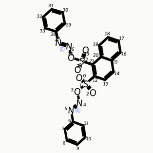 O=S(=O)(O/N=N/c1ccccc1)c1ccc2ccccc2c1S(=O)(=O)O/N=N/c1ccccc1